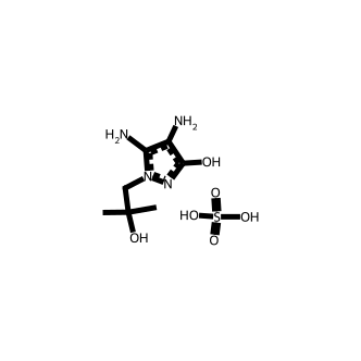 CC(C)(O)Cn1nc(O)c(N)c1N.O=S(=O)(O)O